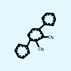 N#Cc1c(-c2ccccc2)ccc(-c2ccccc2)c1C#N